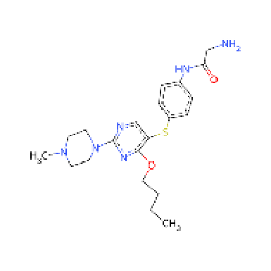 CCCCOc1nc(N2CCN(C)CC2)ncc1Sc1ccc(NC(=O)CN)cc1